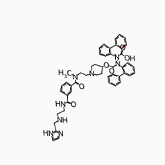 CN(CCN1CCC(OC(=O)N(c2ccccc2-c2ccccc2)N(C(=O)O)c2ccccc2-c2ccccc2)CC1)C(=O)c1cccc(C(=O)NCCNCc2ncc[nH]2)c1